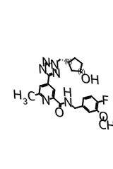 COc1cc(CNC(=O)c2cc(-c3nnn(C[C@@H]4CC[C@@H](O)C4)n3)cc(C)n2)ccc1F